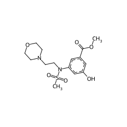 COC(=O)c1cc(O)cc(N(CCN2CCOCC2)S(C)(=O)=O)c1